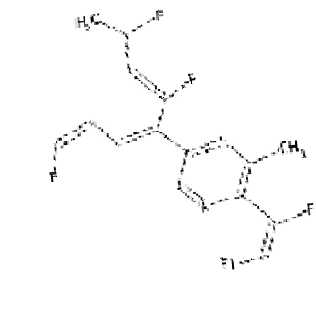 CC/C=C(/F)c1ncc(C(=C/C=C\F)/C(F)=C/C(C)F)cc1C